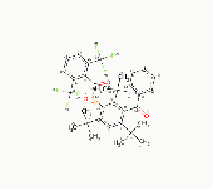 CC(C)(C)c1cc(C(C)(C)C)c([PH](=O)C(=O)c2c(C(F)(F)F)cccc2C(F)(F)F)c(C(C)(C)C)c1C(=O)c1ccccc1